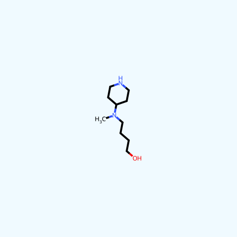 CN(CCCCO)C1CCNCC1